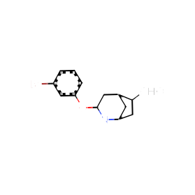 O=CC1CC2CC1CC(Oc1cccc(Br)c1)N2